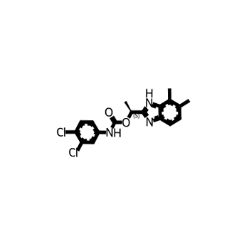 Cc1ccc2nc([C@H](C)OC(=O)Nc3ccc(Cl)c(Cl)c3)[nH]c2c1C